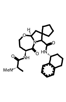 CN[C@@H](C)C(=O)N[C@H]1CCO[C@H]2CC3(CCCC3)C(C(=O)N[C@@H]3CCCc4ccccc43)N2C1=O